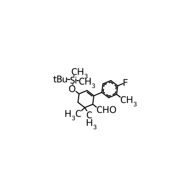 Cc1cc(C2=CC(O[Si](C)(C)C(C)(C)C)CC(C)(C)C2C=O)ccc1F